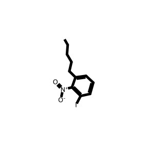 CCCCCc1cccc(I)c1[N+](=O)[O-]